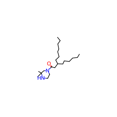 CCCCCCCC(CCCCCC)CC(=O)N1CCNC(C)(C)C1